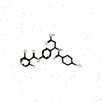 CC1CCC(C(=O)NC(CC(=O)O)c2ccc(NC(=O)c3c(Cl)cncc3Cl)cc2)CC1